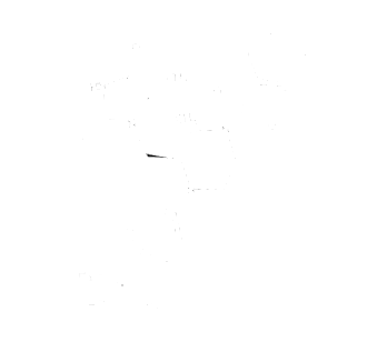 CC(C)(O)c1ccc(N2CCN(S(=O)(=O)c3cccs3)C[C@@H]2CN2C(=O)NC(=O)C2(C)C)cc1